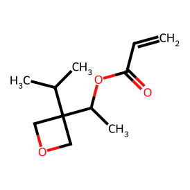 C=CC(=O)OC(C)C1(C(C)C)COC1